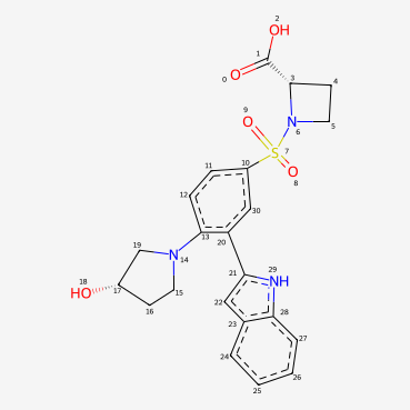 O=C(O)[C@@H]1CCN1S(=O)(=O)c1ccc(N2CC[C@H](O)C2)c(-c2cc3ccccc3[nH]2)c1